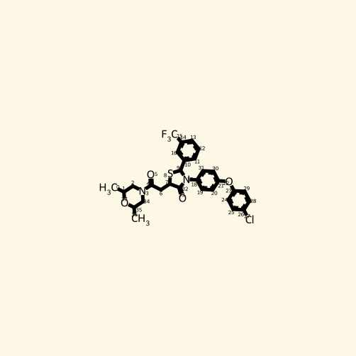 CC1CN(C(=O)CC2SC(c3cccc(C(F)(F)F)c3)N(c3ccc(Oc4ccc(Cl)cc4)cc3)C2=O)CC(C)O1